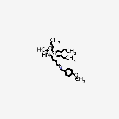 CCC[CH2][Sn]([CH2]CCC)([CH2]CCC)[CH](CCC/N=C/c1ccc(OC)cc1)NC(=O)O